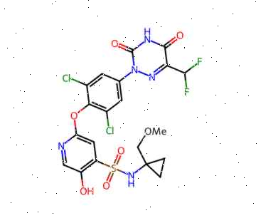 COCC1(NS(=O)(=O)c2cc(Oc3c(Cl)cc(-n4nc(C(F)F)c(=O)[nH]c4=O)cc3Cl)ncc2O)CC1